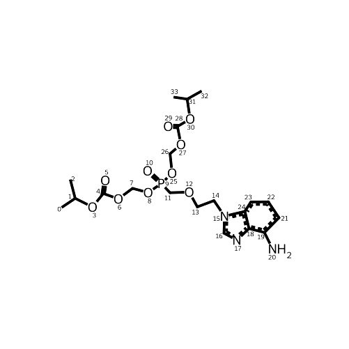 CC(C)OC(=O)OCOP(=O)(COCCn1cnc2c(N)cccc21)OCOC(=O)OC(C)C